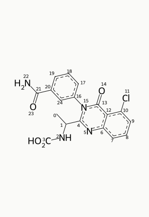 CC(NC(=O)O)c1nc2cccc(Cl)c2c(=O)n1-c1cccc(C(N)=O)c1